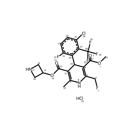 COC(=O)C1=C(CF)NC(C)=C(C(=O)OC2CNC2)C1c1c(F)ccc(Cl)c1C(F)(F)F.Cl